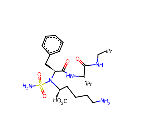 CC(C)CNC(=O)[C@@H](NC(=O)[C@H](Cc1ccccc1)N([C@@H](CCCCN)C(=O)O)S(N)(=O)=O)C(C)C